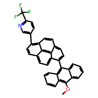 COc1c2ccccc2c(-c2ccc3ccc4c(-c5ccc(C(F)(F)F)nc5)ccc5ccc2c3c54)c2ccccc12